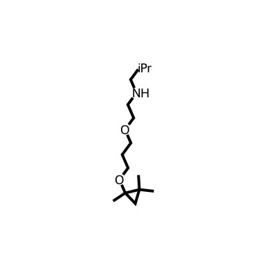 CC(C)CNCCOCCCOC1(C)CC1(C)C